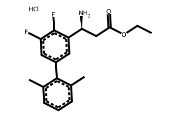 CCOC(=O)C[C@H](N)c1cc(-c2c(C)cccc2C)cc(F)c1F.Cl